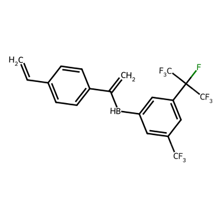 C=Cc1ccc(C(=C)Bc2cc(C(F)(F)F)cc(C(F)(C(F)(F)F)C(F)(F)F)c2)cc1